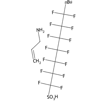 C=CCN.CCCCC(F)(F)C(F)(F)C(F)(F)C(F)(F)C(F)(F)C(F)(F)C(F)(F)S(=O)(=O)O